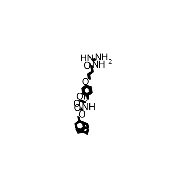 N=C(N)NC(=O)CCCOc1ccc(C[C@H](NC(=O)OCC23CC4CC5CC(C2)C5(C4)C3)C(=O)O)cc1